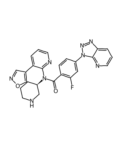 O=C(c1ccc(-n2nnc3cccnc32)cc1F)N(c1ncccc1-c1cnoc1)[C@@H]1CCCNC1